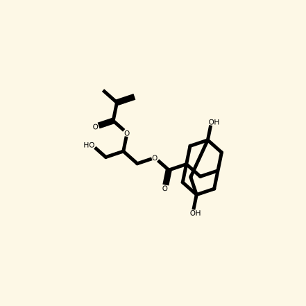 C=C(C)C(=O)OC(CO)COC(=O)C12CC3CC(O)(CC(O)(C3)C1)C2